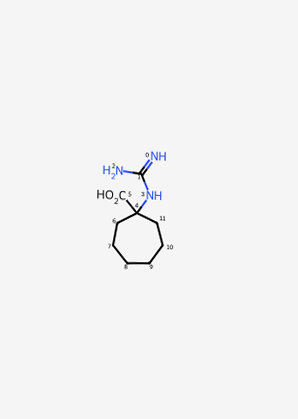 N=C(N)NC1(C(=O)O)CCCCCC1